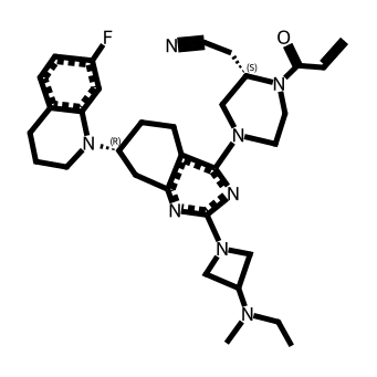 C=CC(=O)N1CCN(c2nc(N3CC(N(C)CC)C3)nc3c2CC[C@@H](N2CCCc4ccc(F)cc42)C3)C[C@@H]1CC#N